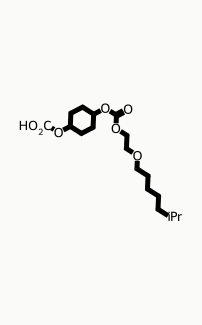 CC(C)CCCCCOCCOC(=O)OC1CCC(OC(=O)O)CC1